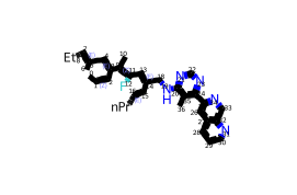 C\C=C/C(=C\C(C)=C\CC)C(/C)=C(F)/C=C(\C=C\CCC)CNc1ncnc(-c2cc3cccnc3cn2)c1C